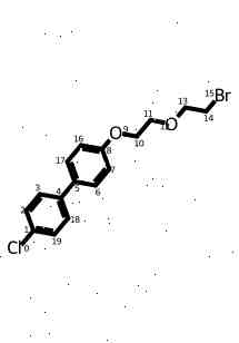 Clc1ccc(-c2ccc(OCCOCCBr)cc2)cc1